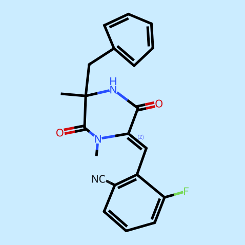 CN1C(=O)C(C)(Cc2ccccc2)NC(=O)/C1=C/c1c(F)cccc1C#N